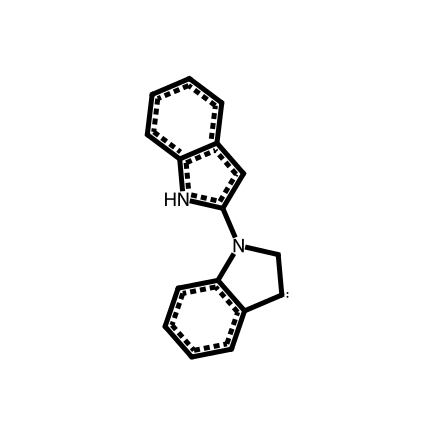 [C]1CN(c2cc3ccccc3[nH]2)c2ccccc21